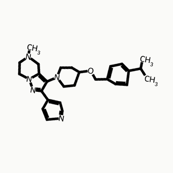 CC(C)c1ccc(COC2CCN(c3c(-c4ccncc4)nn4c3CN(C)CC4)CC2)cc1